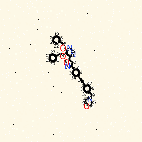 C(#Cc1ccc(C2=NOC(c3ncnc(OCc4ccccc4)c3OCc3ccccc3)C2)cc1)c1ccc(CN2CCOCC2)cc1